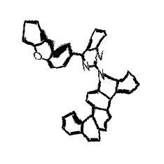 c1ccc2c(c1)ccc1ccc3c(ccc4c3c3ccccc3n4-c3nc(-c4ccc5oc6ccccc6c5c4)c4ccccc4n3)c12